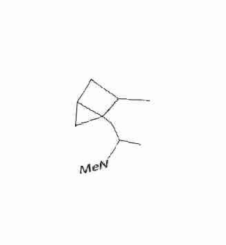 CNC(C)C12CC1CC2C